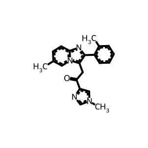 Cc1ccc2nc(-c3ccccc3C)c(CC(=O)c3cn(C)cn3)n2c1